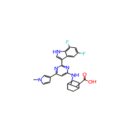 Cn1ccc(-c2cc(NC3C4CCC(CC4)C3C(=O)O)nc(-c3c[nH]c4c(F)cc(F)cc34)n2)c1